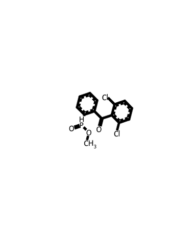 CO[PH](=O)c1ccccc1C(=O)c1c(Cl)cccc1Cl